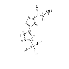 O=C(NO)c1ccc(-c2cc(C(F)(F)F)n[nH]2)s1